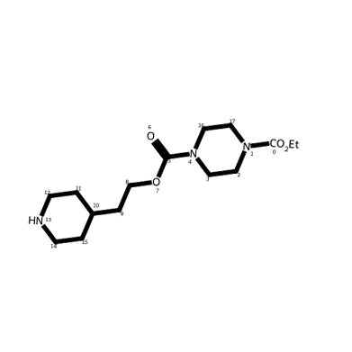 CCOC(=O)N1CCN(C(=O)OCCC2CCNCC2)CC1